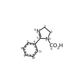 O=C(O)N1CCN=C1c1ccccc1